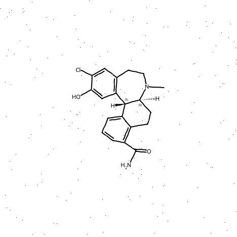 CN1CCc2cc(Cl)c(O)cc2[C@H]2c3cccc(C(N)=O)c3CC[C@@H]21